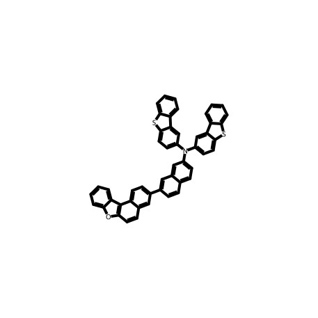 c1ccc2c(c1)oc1ccc3cc(-c4ccc5ccc(N(c6ccc7sc8ccccc8c7c6)c6ccc7sc8ccccc8c7c6)cc5c4)ccc3c12